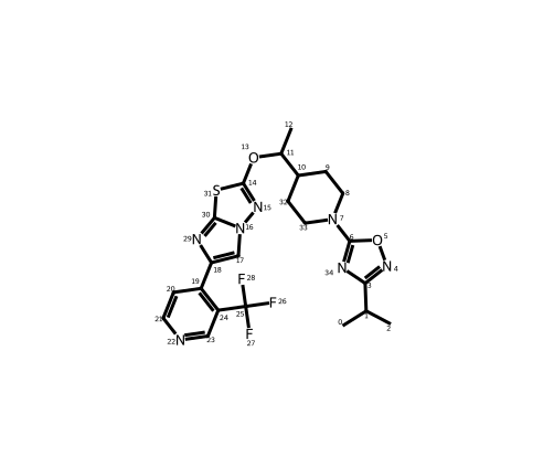 CC(C)c1noc(N2CCC(C(C)Oc3nn4cc(-c5ccncc5C(F)(F)F)nc4s3)CC2)n1